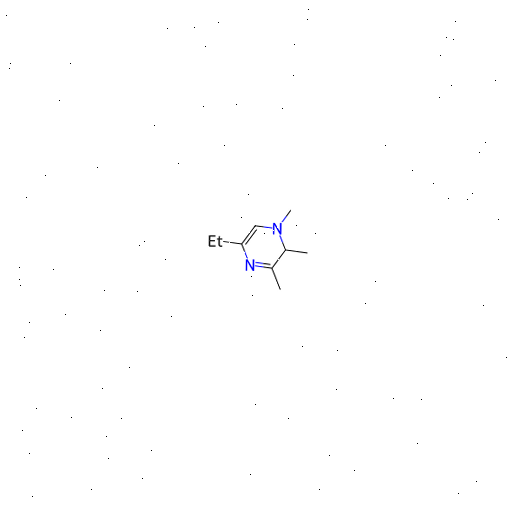 CCC1=CN(C)C(C)C(C)=N1